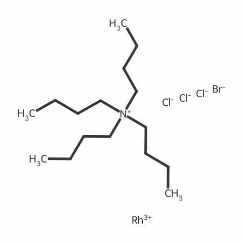 CCCC[N+](CCCC)(CCCC)CCCC.[Br-].[Cl-].[Cl-].[Cl-].[Rh+3]